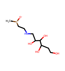 C[S+]([O-])CCNCC(O)C(O)C(O)CCO